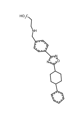 O=C(O)CCNCc1ccc(-c2noc(C3CCC(c4ccccc4)CC3)n2)cc1